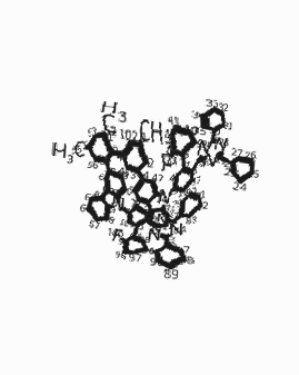 Cc1cc(-c2ccc3c4ccccc4n(-c4ccc(-c5nc(-c6ccccc6)nc(-c6ccccc6)n5)c(-c5ccccc5F)c4)c3c2)cc(-c2c(C)cc(C)cc2-c2ccc3c(c2)c2ccccc2n3-c2ccc(-c3nc(-c4ccccc4)nc(-c4ccccc4)n3)c(-c3ccccc3F)c2)c1